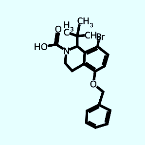 CC(C)(C)C1c2c(Br)ccc(OCc3ccccc3)c2CCN1C(=O)O